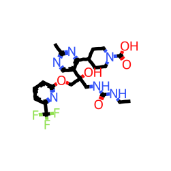 CCNC(=O)NCC(O)(COc1cccc(C(F)(F)F)n1)c1cnc(C)nc1C1CCN(C(=O)O)CC1